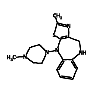 Cc1nc2c(s1)N(N1CCN(C)CC1)c1ccccc1NC2